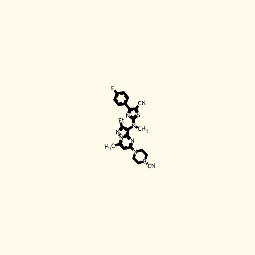 CCc1nn2c(C)cc(N3CCB(C#N)CC3)nc2c1N(C)c1nc(-c2ccc(F)cc2)c(C#N)s1